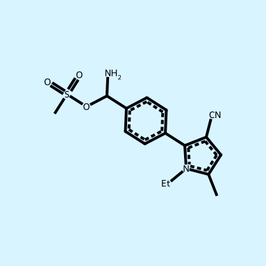 CCn1c(C)cc(C#N)c1-c1ccc(C(N)OS(C)(=O)=O)cc1